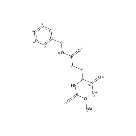 CC(C)(C)OC(=O)NC(CCC(=O)OCc1ccccc1)C([NH])=O